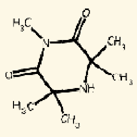 CN1C(=O)C(C)(C)NC(C)(C)C1=O